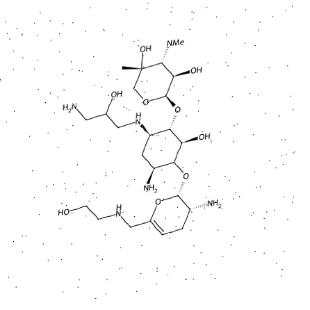 CN[C@@H]1[C@@H](O)[C@@H](O[C@H]2[C@H](NCC(O)CN)C[C@H](N)C(O[C@H]3OC(CNCCO)=CC[C@H]3N)[C@@H]2O)OC[C@]1(C)O